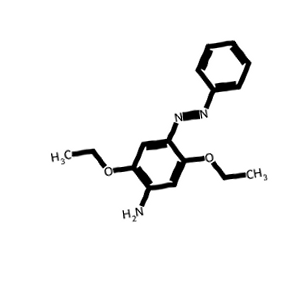 CCOc1cc(N=Nc2ccccc2)c(OCC)cc1N